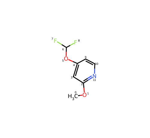 COc1cc(OC(F)F)ccn1